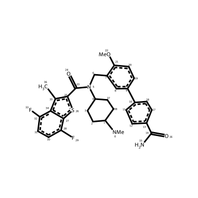 CNC1CCC(N(Cc2cc(-c3ccc(C(N)=O)cc3)ccc2OC)C(=O)c2sc3c(F)ccc(F)c3c2C)CC1